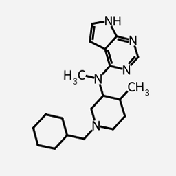 CC1CCN(CC2CCCCC2)CC1N(C)c1ncnc2[nH]ccc12